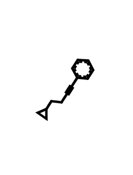 C(#Cc1ccccc1)CCC1CC1